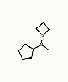 CN(C1CCCC1)[SiH]1CCC1